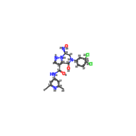 Cc1cc(NC(=O)c2cnn3c2C(=O)N(c2ccc(Cl)c(Cl)c2)C[C@@H]3N=O)cc(C)n1